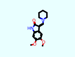 COc1cc2c(cc1OC)C(=CN1CCCCC1)C(=O)N2